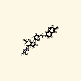 Cc1nc(/N=C/N(C)C)c2ccn(C3CC[C@@H](COc4ccc5cc(Br)cnc5c4)O3)c2n1